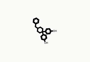 Oc1ccc(C2(c3ccc(O)cc3)CCC(Cc3ccccc3)CC2)cc1